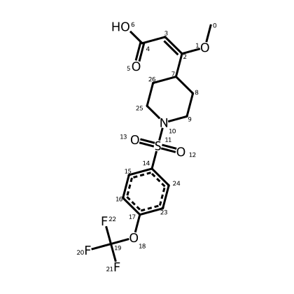 CO/C(=C/C(=O)O)C1CCN(S(=O)(=O)c2ccc(OC(F)(F)F)cc2)CC1